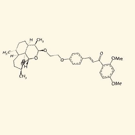 COc1ccc(C(=O)/C=C/c2ccc(OCCO[C@H]3O[C@@H]4O[C@@]5(C)CC[C@H]6[C@H](C)CC[C@@H]([C@H]3C)[C@@]46OO5)cc2)c(OC)c1